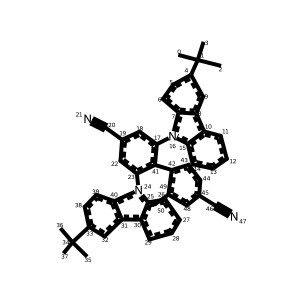 CC(C)(C)c1ccc2c(c1)c1ccccc1n2-c1cc(C#N)cc(-n2c3ccccc3c3cc(C(C)(C)C)ccc32)c1-c1ccc(C#N)cc1F